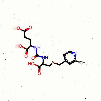 Cc1cc(CSCC(NC(=O)NC(CCC(=O)O)C(=O)O)C(=O)O)ccn1